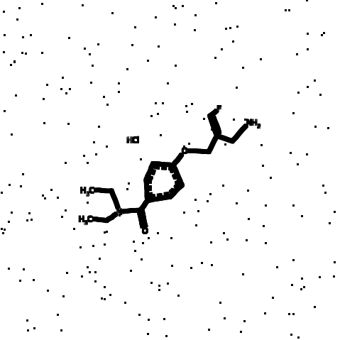 CCN(CC)C(=O)c1ccc(OCC(=CF)CN)cc1.Cl